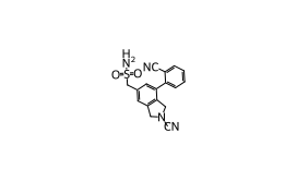 N#Cc1ccccc1-c1cc(CS(N)(=O)=O)cc2c1CN(C#N)C2